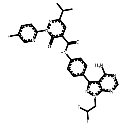 CC(C)c1cc(C(=O)Nc2ccc(-c3nn(CC(F)F)c4ncnc(N)c34)cc2)c(=O)n(-c2ccc(F)cn2)n1